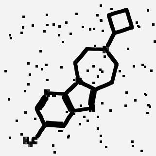 Cc1cnc2c(c1)nc1n2CCN(C2CCC2)CC1